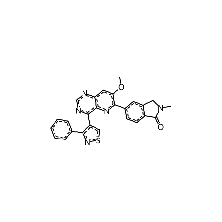 COc1cc2ncnc(-c3csnc3-c3ccccc3)c2nc1-c1ccc2c(c1)CN(C)C2=O